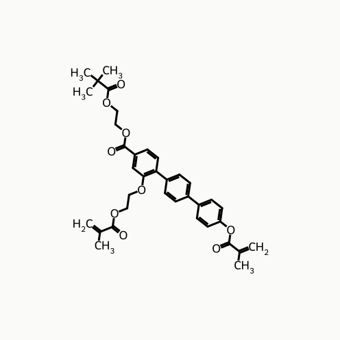 C=C(C)C(=O)OCCOc1cc(C(=O)OCCOC(=O)C(C)(C)C)ccc1-c1ccc(-c2ccc(OC(=O)C(=C)C)cc2)cc1